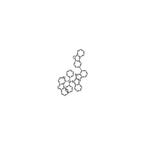 c1ccc([Si](c2ccccc2)(c2nccc3sc4ccccc4c23)n2c3ccccc3n3c4cccc(-c5ccc6oc7ccccc7c6c5)c4nc23)cc1